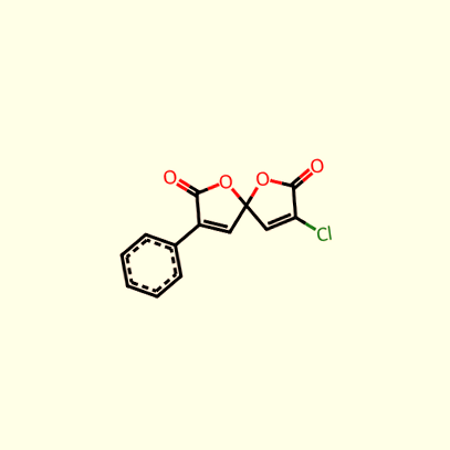 O=C1OC2(C=C1Cl)C=C(c1ccccc1)C(=O)O2